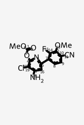 COC(=O)Oc1nc(-c2ccc(C#N)c(OC)c2F)cc(N)c1Cl